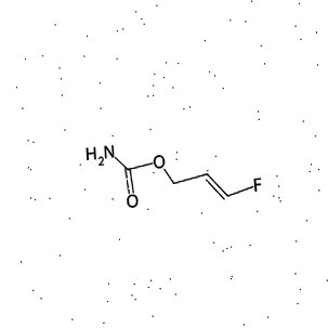 NC(=O)OCC=CF